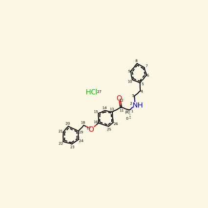 C[C@@H](NCCc1ccccc1)C(=O)c1ccc(OCc2ccccc2)cc1.Cl